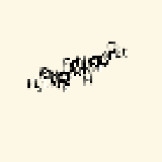 CCC(=O)N1CCc2nc(Nc3ncc(F)c(-c4cc(F)c5nc(C)n(C(C)C)c5c4)n3)ccc2C1